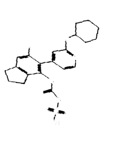 Cc1cc2c(c(NC(=O)NS(C)(=O)=O)c1-c1ccnc(OC3CCCCC3)c1)CCC2